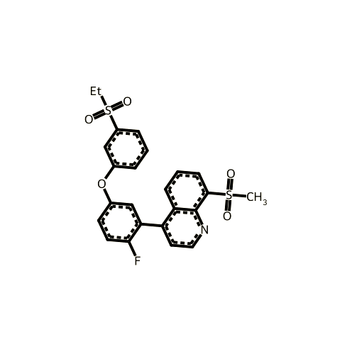 CCS(=O)(=O)c1cccc(Oc2ccc(F)c(-c3ccnc4c(S(C)(=O)=O)cccc34)c2)c1